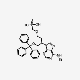 CCNc1ncnc2c1ncn2C(CCOCP(=O)(O)O)COC(c1ccccc1)(c1ccccc1)c1ccccc1